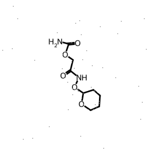 NC(=O)OCC(=O)NOC1CCCCO1